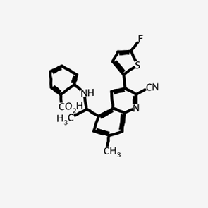 Cc1cc(C(C)Nc2ccccc2C(=O)O)c2cc(-c3ccc(F)s3)c(C#N)nc2c1